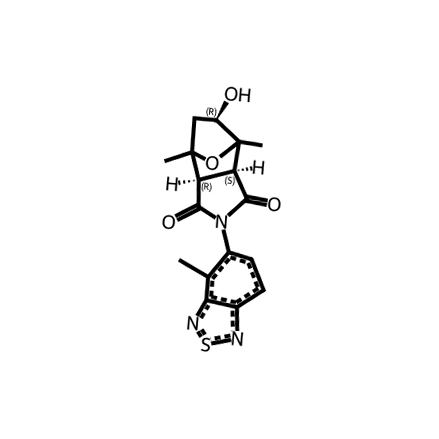 Cc1c(N2C(=O)[C@@H]3[C@H](C2=O)C2(C)OC3(C)C[C@H]2O)ccc2nsnc12